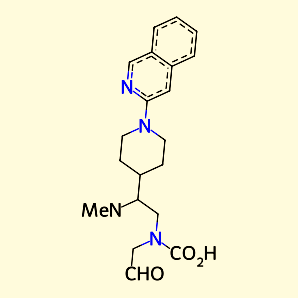 CNC(CN(CC=O)C(=O)O)C1CCN(c2cc3ccccc3cn2)CC1